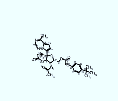 CC(=O)O[C@H]1[C@@H](OC(C)=O)[C@](C#N)(c2ccc3c(N)ncnn23)O[C@@H]1CO[PH](=O)Oc1ccc(C(C)(C)C)cc1